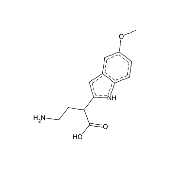 COc1ccc2[nH]c(C(CCN)C(=O)O)cc2c1